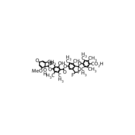 COC1=CC(=O)C=C(C)[C@]1(O)C(=O)Oc1c(C)c(C)c(C(=O)Oc2cc(C(F)F)c(C(=O)Oc3c(C)c(C)c(C(=O)O)c(C)c3C)c(C)c2C)c(O)c1Br